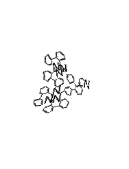 N#Cc1cccc(-c2ccc(-c3nc(-c4ccccc4-c4ccccc4)nc(-c4ccccc4-c4ccccc4)n3)cc2)c1-c1ccc(-c2nc(-c3ccccc3-c3ccccc3)nc(-c3ccccc3-c3ccccc3)n2)cc1